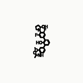 COc1cc(-c2cccc(-c3cc(F)c(N4CCCC4O)c(F)c3)c2O)ccc1NC(C)=O